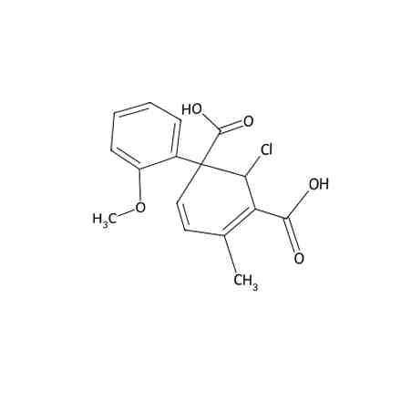 COc1ccccc1C1(C(=O)O)C=CC(C)=C(C(=O)O)C1Cl